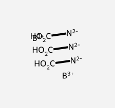 [B+3].[B+3].[N-2]C(=O)O.[N-2]C(=O)O.[N-2]C(=O)O